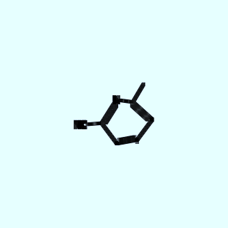 Cc1c[c]cc(C#N)n1